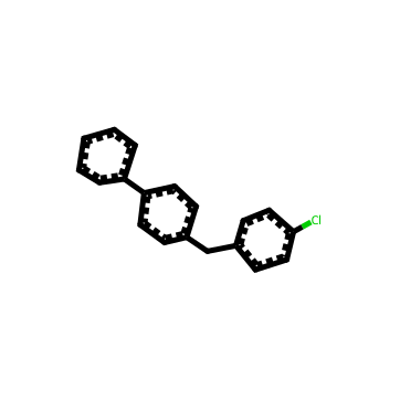 Clc1ccc([CH]c2ccc(-c3ccccc3)cc2)cc1